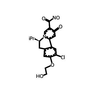 CC(C)[C@@H]1Cc2cc(OCCO)c(Cl)cc2-c2cc(=O)c(C(=O)N=O)cn21